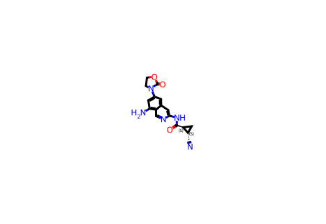 N#C[C@H]1C[C@@H]1C(=O)Nc1cc2cc(N3CCOC3=O)cc(N)c2cn1